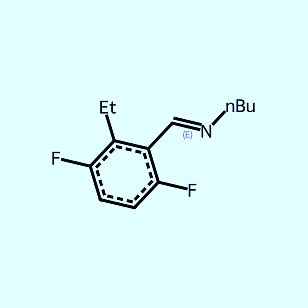 CCCC/N=C/c1c(F)ccc(F)c1CC